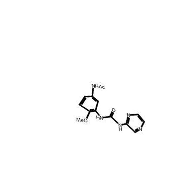 COc1ccc(NC(C)=O)cc1NC(=O)Nc1cnccn1